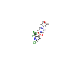 O=S(=O)(c1ccc(Cl)nc1C(F)(F)F)N1CCN(C2CCOCC2)CC1